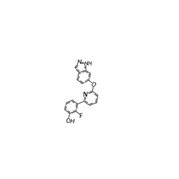 Oc1cccc(-c2cccc(Oc3ccc4cn[nH]c4c3)n2)c1F